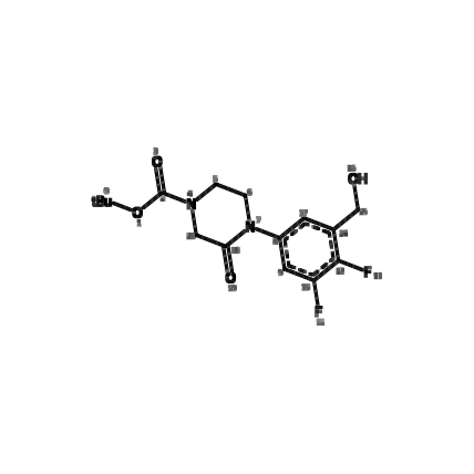 CC(C)(C)OC(=O)N1CCN(c2cc(F)c(F)c(CO)c2)C(=O)C1